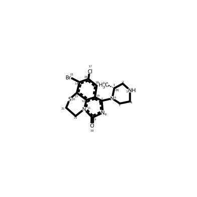 C[C@@H]1CNCCN1c1nc(=O)n2c3c(c(Br)c(Cl)cc13)SCC2